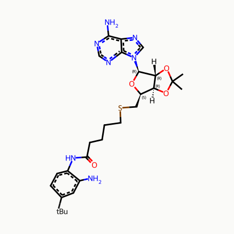 CC1(C)O[C@@H]2[C@@H](O1)[C@@H](CSCCCCC(=O)Nc1ccc(C(C)(C)C)cc1N)O[C@H]2n1cnc2c(N)ncnc21